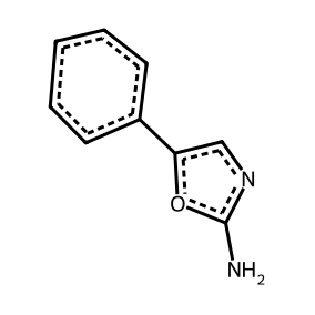 Nc1ncc(-c2ccccc2)o1